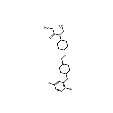 CCN(C(=O)CO)[C@H]1CC[C@H](CCN2CCC(Cc3cc(F)ccc3Br)CC2)CC1